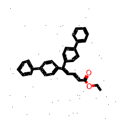 CCOC(=O)C=CC=C(c1ccc(-c2ccccc2)cc1)c1ccc(-c2ccccc2)cc1